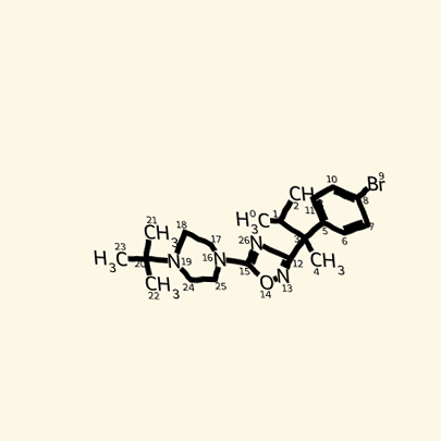 CC(C)C(C)(c1ccc(Br)cc1)c1noc(N2CCN(C(C)(C)C)CC2)n1